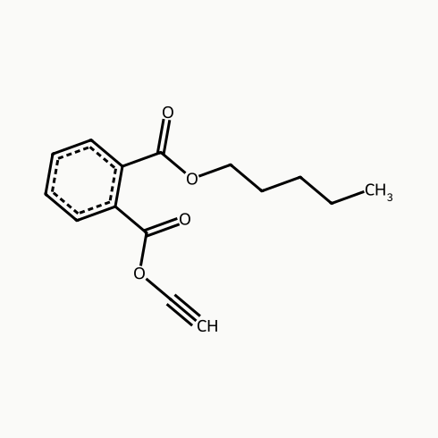 C#COC(=O)c1ccccc1C(=O)OCCCCC